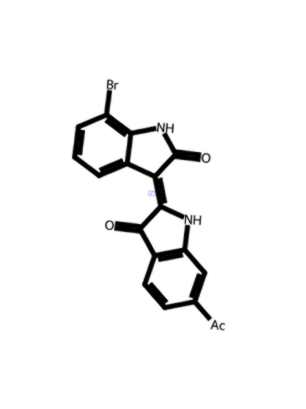 CC(=O)c1ccc2c(c1)N/C(=C1\C(=O)Nc3c(Br)cccc31)C2=O